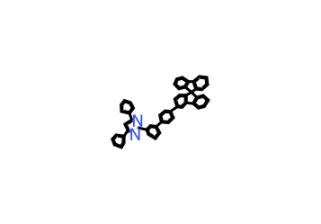 c1ccc(-c2cc(-c3ccccc3)nc(-c3cccc(-c4ccc(-c5ccc6c(c5)-c5ccccc5C65c6ccccc6-c6ccccc65)cc4)c3)n2)cc1